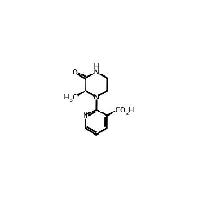 C[C@H]1C(=O)NCCN1c1ncccc1C(=O)O